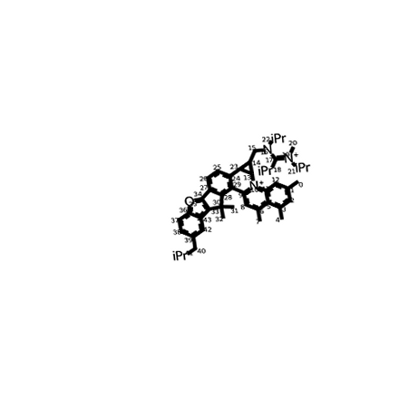 Cc1cc(C)c2c(C)cc3[n+](c2c1)C1C(CN(/C(C(C)C)=[N+](\C)C(C)C)C(C)C)C1c1ccc2c(c1-3)C(C)(C)c1c-2oc2ccc(CC(C)C)cc12